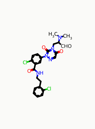 CN(C)C(C=O)Cn1c(=O)cnn(-c2ccc(Cl)c(C(=O)NCCc3ccccc3Cl)c2)c1=O